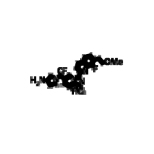 COCCc1ccc2ccc(-c3nnc4ccc([C@@H](N5CC[C@H](N)C5)C(F)(F)F)cn34)nc2c1F.Cl.Cl